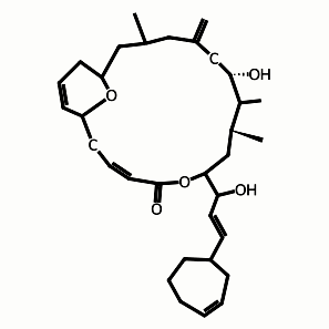 C=C1CC(C)CC2CC=CC(C/C=C\C(=O)OC(C(O)/C=C/C3CC=CCCC3)C[C@H](C)C(C)[C@@H](O)C1)O2